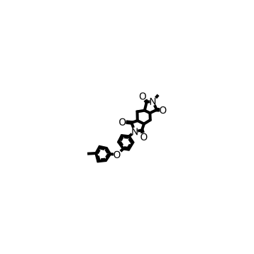 Cc1ccc(Oc2ccc(N3C(=O)C4CC5C(=O)N(C)C(=O)C5CC4C3=O)cc2)cc1